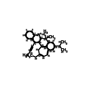 CC#Cc1c2c(nc3ccccc13)C(C)(C)c1cc(C(C)C)cc3c1=C2CC(CC)=CC=3